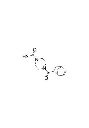 O=C(S)N1CCN(C(=O)C2CC3C=CC2C3)CC1